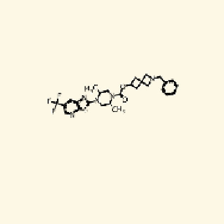 C[C@@H]1CN(c2nc3cc(C(F)(F)F)cnc3s2)[C@@H](C)CN1C(=O)OC1CC2(C1)CN(Cc1ccccc1)C2